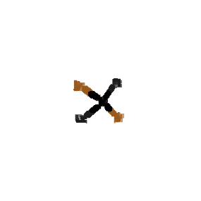 CC[Te](Br)(Br)CC